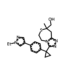 CCn1cc(-c2ccc(C3(c4nnc5n4CCSC(C)(CO)C5)CC3)cc2)cn1